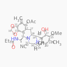 CCC(=O)NC[C@H]1c2c(c(OC(C)=O)c(C)c3c2OCO3)CC2[C@H]3c4c(cc(C)c(OC)c4O)C[C@@H]([C@H](C#N)N21)N3C